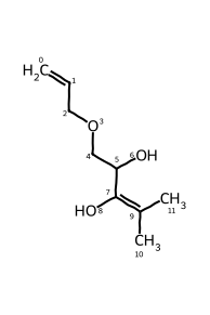 C=CCOCC(O)C(O)=C(C)C